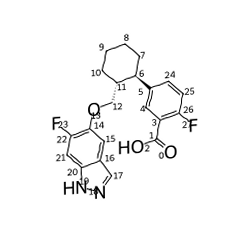 O=C(O)c1cc([C@@H]2CCCC[C@H]2COc2cc3cn[nH]c3cc2F)ccc1F